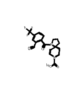 O=Cc1cc(C(F)(F)F)ccc1C(=O)N1CCCC12CCN(C(=O)O)CC2